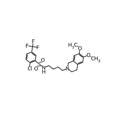 COc1cc2c(cc1OC)CN(CCCCNS(=O)(=O)c1cc(C(F)(F)F)ccc1Cl)CC2